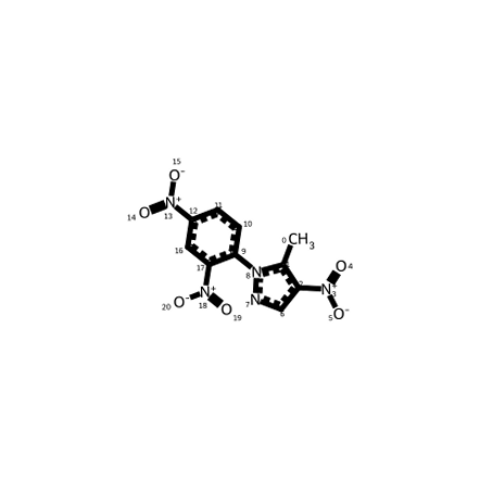 Cc1c([N+](=O)[O-])cnn1-c1ccc([N+](=O)[O-])cc1[N+](=O)[O-]